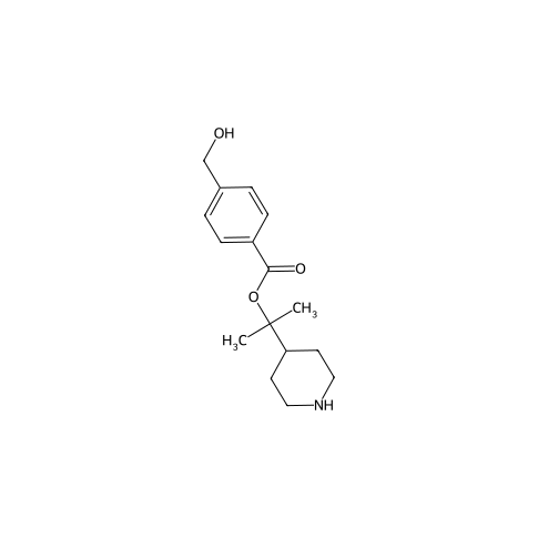 CC(C)(OC(=O)c1ccc(CO)cc1)C1CCNCC1